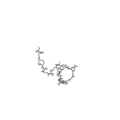 CCC(=O)NCCOC1C/C=C/C(OC(=O)N(C)CCN(C)C(=O)OCCC(=O)N(C)[C@@H](C)C(=O)O[C@H]2CC(=O)N(C)c3cc(cc(OC)c3)C/C(C)=C/C=C/C(OC)C3(O)C[C@H](OC(=O)N3)[C@@H](C)[C@@H]3O[C@@]23C)CCC1